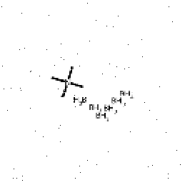 B.B.B.B.B.C[N+](C)(C)C.[BH4-]